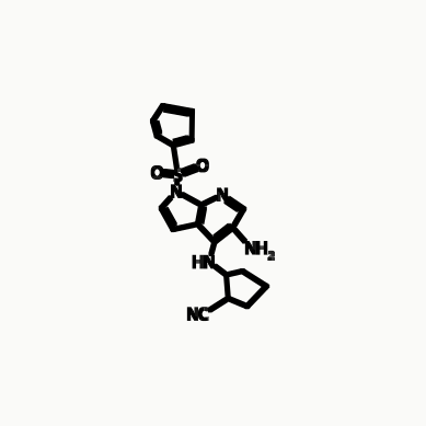 N#CC1CCCC1Nc1c(N)cnc2c1ccn2S(=O)(=O)c1ccccc1